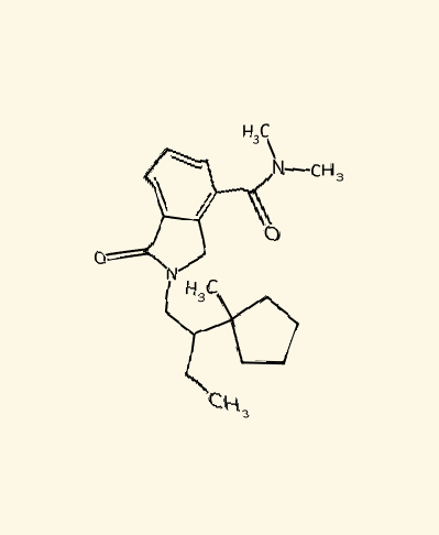 CCC(CN1Cc2c(C(=O)N(C)C)cccc2C1=O)C1(C)CCCC1